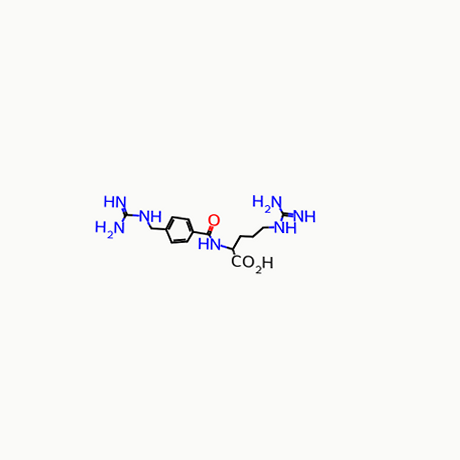 N=C(N)NCCCC(NC(=O)c1ccc(CNC(=N)N)cc1)C(=O)O